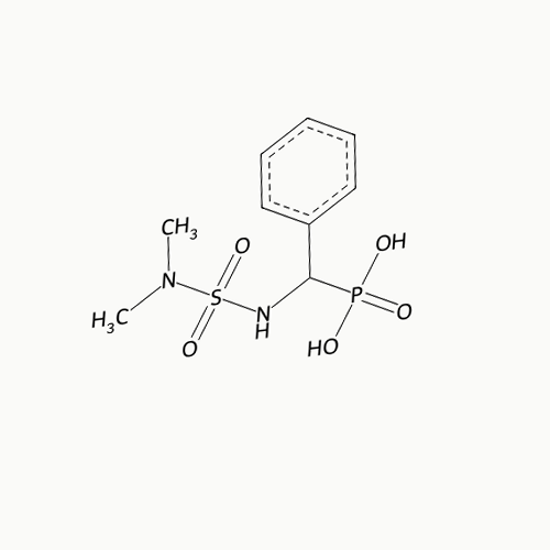 CN(C)S(=O)(=O)NC(c1ccccc1)P(=O)(O)O